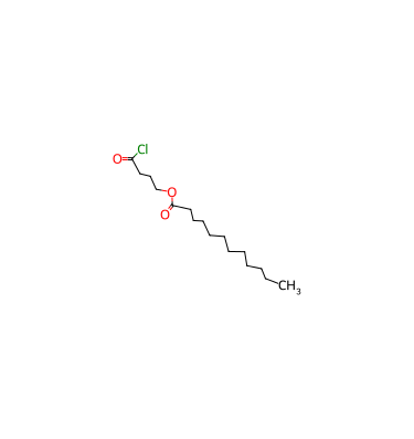 CCCCCCCCCCCC(=O)OCCCC(=O)Cl